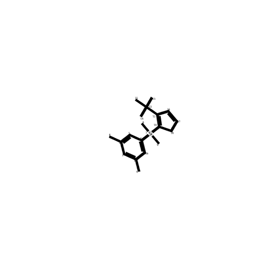 Cc1cc(C)cc([Si](C)(C)C2=C(C(C)(C)C)C=CC2)c1